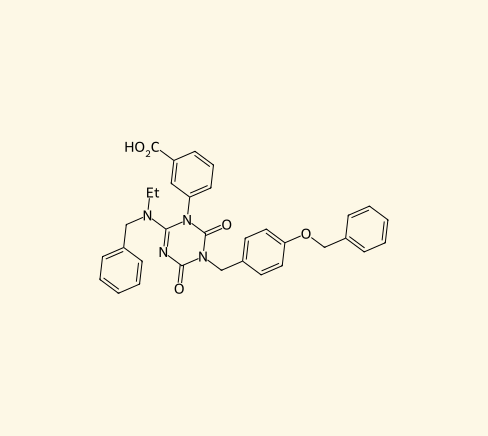 CCN(Cc1ccccc1)c1nc(=O)n(Cc2ccc(OCc3ccccc3)cc2)c(=O)n1-c1cccc(C(=O)O)c1